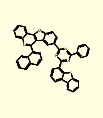 c1ccc(-c2nc(-c3ccc4oc5c6ccccc6nc(-c6cccc7ccccc67)c5c4c3)nc(-c3cccc4c3sc3ccccc34)n2)cc1